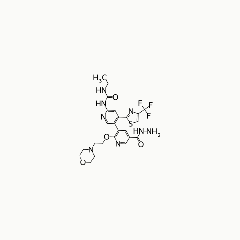 CCNC(=O)Nc1cc(-c2nc(C(F)(F)F)cs2)c(-c2cc(C(=O)NN)cnc2OCCN2CCOCC2)cn1